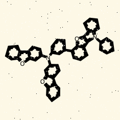 c1ccc(-n2c3ccccc3c3oc4c(-c5cccc(N(c6ccc7c(c6)oc6ccccc67)c6ccc7c(c6)oc6ccccc67)c5)cccc4c32)cc1